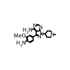 COc1cc(-c2nn(C3CCN(C)CC3)c3ncnc(N)c23)ccc1N